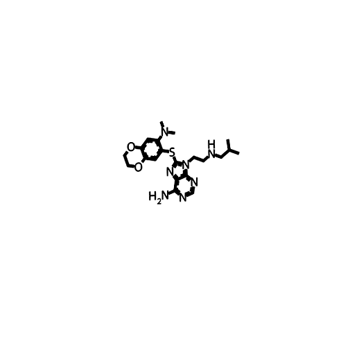 CC(C)CNCCn1c(Sc2cc3c(cc2N(C)C)OCCO3)nc2c(N)ncnc21